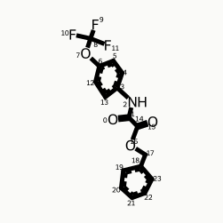 O=C(Nc1ccc(OC(F)(F)F)cc1)C(=O)OCc1ccccc1